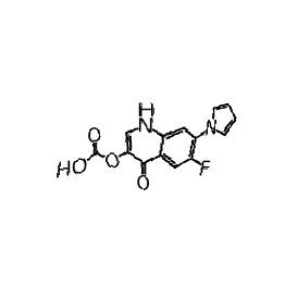 O=C(O)Oc1c[nH]c2cc(-n3cccc3)c(F)cc2c1=O